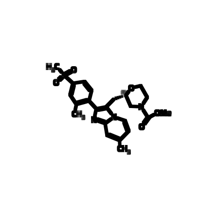 COC(=O)N1CCO[C@@H](Cc2c(-c3ccc(S(C)(=O)=O)cc3C)nc3cc(C)ccn23)C1